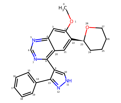 COc1cc2ncnc(-c3c[nH]nc3-c3ccccc3)c2cc1[C@@H]1CCCCO1